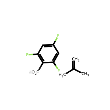 C=C(C)C.O=C(O)c1c(F)cc(F)cc1F